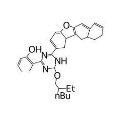 CCCCC(CC)COC1N=C(C2=C(O)C=CCC2)N=C(C2=CC=C3OC4=C(CC5CCC=CC5=C4)C3C2)N1